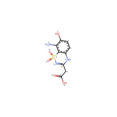 Nc1c(O)ccc2c1S(=O)(=O)N=C(CC(=O)O)N2